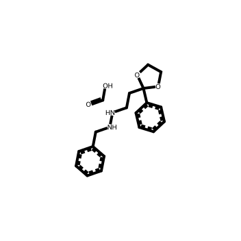 O=CO.c1ccc(CNNCCC2(c3ccccc3)OCCO2)cc1